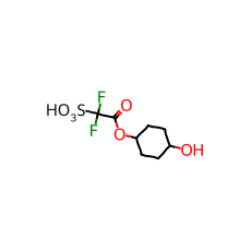 O=C(OC1CCC(O)CC1)C(F)(F)S(=O)(=O)O